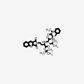 CNC(=O)[C@H](Cc1ccccc1)NC(=O)[C@H](CC(C)C)NC(CCN1C(=O)c2cc3ccccc3nc2C1=O)C(=O)OC(C)(C)C